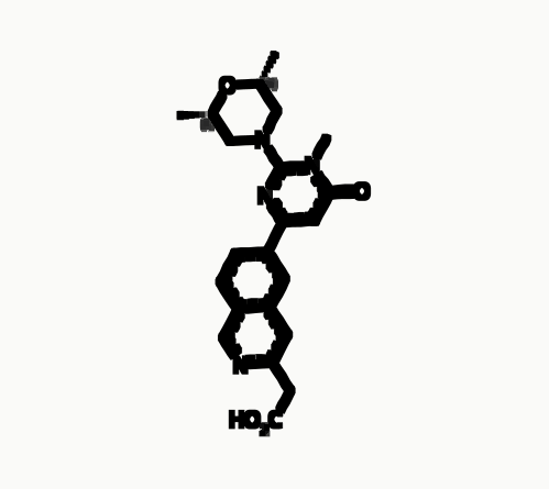 C[C@@H]1CN(c2nc(-c3ccc4cnc(CC(=O)O)cc4c3)cc(=O)n2C)C[C@H](C)O1